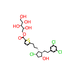 O=C(OC[C@H](O)[C@@H](O)[C@@H](O)CO)c1ccc(CCC[C@@H]2[C@@H](CCc3cc(Cl)cc(Cl)c3)[C@H](O)C[C@H]2Cl)s1